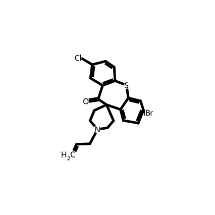 Br.C=CCN1CCC2(CC1)C(=O)c1cc(Cl)ccc1Sc1ccccc12